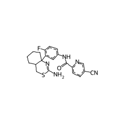 N#Cc1ccc(C(=O)Nc2ccc(F)c(C34CCCCC3CSC(N)=N4)c2)nc1